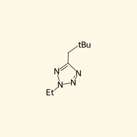 CCn1nnc(CC(C)(C)C)n1